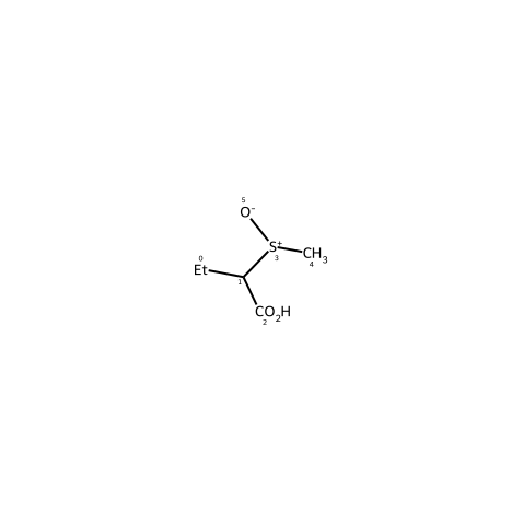 CCC(C(=O)O)[S+](C)[O-]